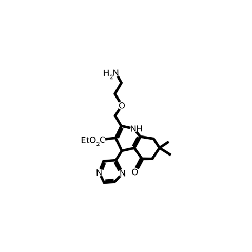 CCOC(=O)C1=C(COCCN)NC2=C(C(=O)CC(C)(C)C2)C1c1cnccn1